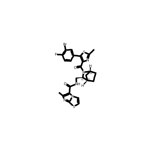 Cc1nc(C(=O)N2[C@@H]3CC[C@@H](C3)[C@H]2CNC(=O)c2c(C)nc3sccn23)c(-c2ccc(F)c(Br)c2)s1